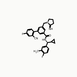 Cc1cc([C@@H](NC(=O)c2cc(CN3CCCC3=N)cc(-c3ccc(F)cc3C#N)c2)C2CC2)ccc1F